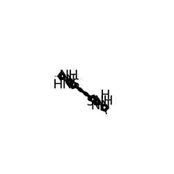 C[C@@H]1CN[C@H](c2nc3sc(C#CC#Cc4cc5[nH]c([C@@H]6C[C@H](C)CN6)nc5s4)cc3[nH]2)C1